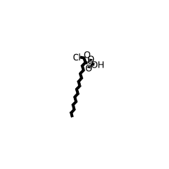 CCCCCCCCCCCCCCC(C(=O)Cl)S(=O)(=O)O